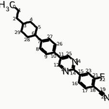 CCCC1CCC(c2ccc(-c3cnc(-c4ccc(C#N)c(F)c4)nc3)cc2)CC1